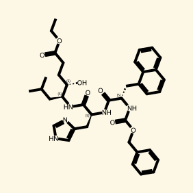 CCOC(=O)CC[C@H](O)[C@H](CC(C)C)NC(=O)[C@H](Cc1c[nH]cn1)NC(=O)[C@H](Cc1cccc2ccccc12)NC(=O)OCc1ccccc1